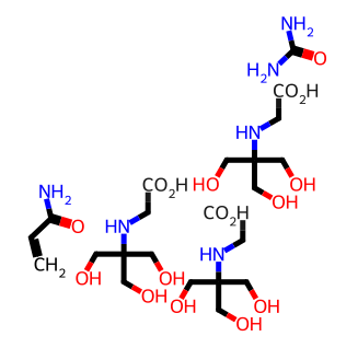 C=CC(N)=O.NC(N)=O.O=C(O)CNC(CO)(CO)CO.O=C(O)CNC(CO)(CO)CO.O=C(O)CNC(CO)(CO)CO